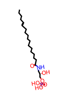 CCCC/C=C/CCCCCCCCCCCC(=O)NC[C@H](O)COP(=O)(O)O